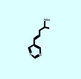 CNC(C)CC=Cc1cncnc1